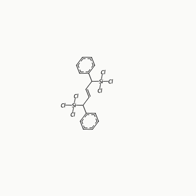 Cl[Si](Cl)(Cl)C(/C=C/C(c1ccccc1)[Si](Cl)(Cl)Cl)c1ccccc1